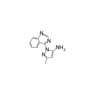 Cc1cc(N)n(-c2ncnc3ccccc23)n1